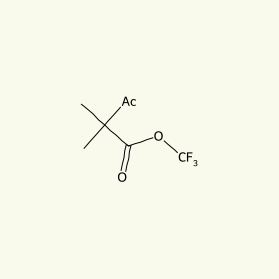 CC(=O)C(C)(C)C(=O)OC(F)(F)F